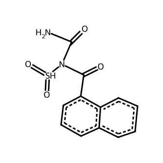 NC(=O)N(C(=O)c1cccc2ccccc12)[SH](=O)=O